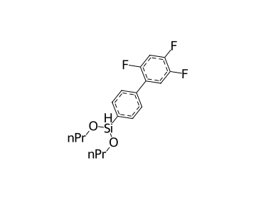 CCCO[SiH](OCCC)c1ccc(-c2cc(F)c(F)cc2F)cc1